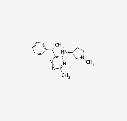 Cc1nnc([C@@H](C)c2ccccc2)c(N[C@H]2CCN(C)C2)n1